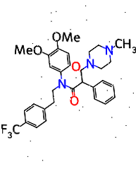 COc1ccc(N(CCc2ccc(C(F)(F)F)cc2)C(=O)C(C(=O)N2CCN(C)CC2)c2ccccc2)cc1OC